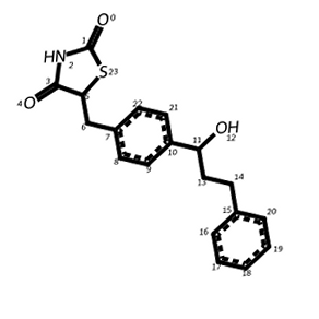 O=C1NC(=O)C(Cc2ccc(C(O)CCc3ccccc3)cc2)S1